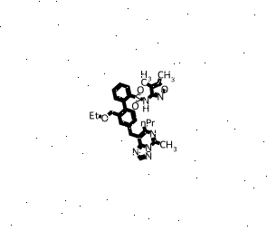 CCCc1nc(C)n2ncnc2c1Cc1ccc(-c2ccccc2S(=O)(=O)Nc2noc(C)c2C)c(COCC)c1